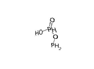 O=[PH](O)OP